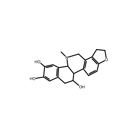 CN1Cc2c(ccc3c2CCO3)C2C(O)Cc3cc(O)c(O)cc3C21